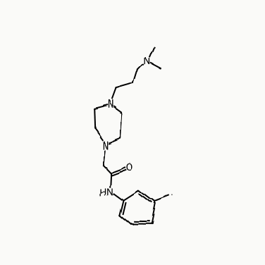 [CH2]c1cccc(NC(=O)CN2CCN(CCCN(C)C)CC2)c1